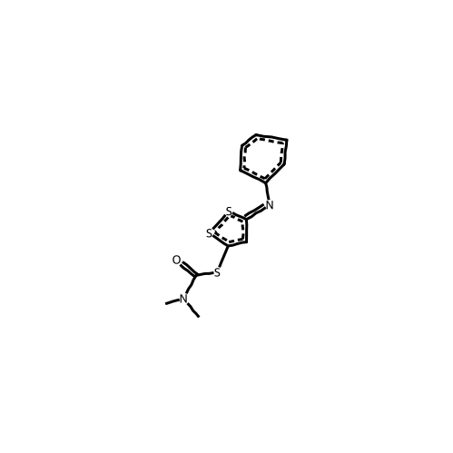 CN(C)C(=O)Sc1cc(=Nc2ccccc2)ss1